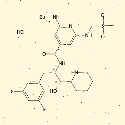 CCC(C)Nc1cc(C(=O)N[C@@H](Cc2cc(F)cc(F)c2)[C@@H](O)C2CCCCN2)cc(NCS(C)(=O)=O)n1.Cl